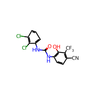 N#Cc1ccc(NC(=O)Nc2cccc(Cl)c2Cl)c(O)c1C(F)(F)F